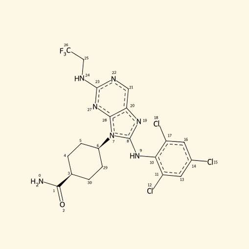 NC(=O)[C@H]1CC[C@@H](n2c(Nc3c(Cl)cc(Cl)cc3Cl)nc3cnc(NCC(F)(F)F)nc32)CC1